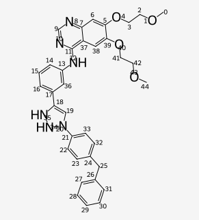 COCCOc1cc2ncnc(Nc3cccc(C4=CN(c5ccc(Cc6ccccc6)cc5)NN4)c3)c2cc1OCCOC